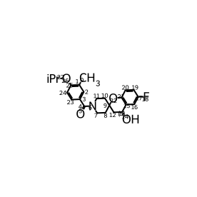 Cc1cc(C(=O)N2CCC3(CC2)C[C@H](O)c2cc(F)ccc2O3)ccc1OC(C)C